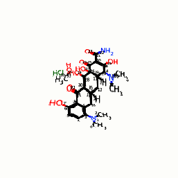 CN(C)c1ccc(O)c2c1C[C@H]1C[C@H]3[C@H](N(C)C)C(O)=C(C(N)=O)C(=O)[C@@]3(O)C(O)=C1C2=O.CO.Cl